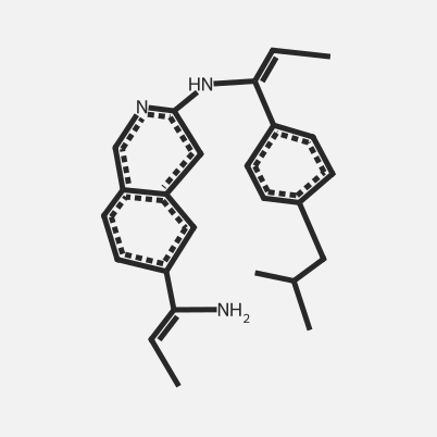 C/C=C(\N)c1ccc2cnc(N/C(=C/C)c3ccc(CC(C)C)cc3)cc2c1